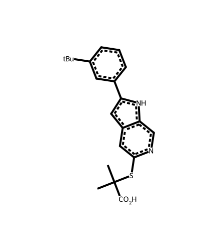 CC(C)(Sc1cc2cc(-c3cccc(C(C)(C)C)c3)[nH]c2cn1)C(=O)O